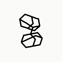 C1[C]2CC3CC1CC(C2)C3C12CC3CC(CC(C3)C1)C2